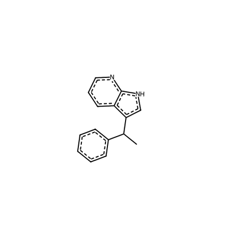 CC(c1ccccc1)c1c[nH]c2ncccc12